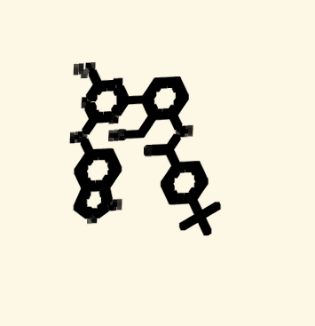 CC(C)(C)c1ccc(C(=O)Nc2cccc(-c3nc(N)nc(Nc4ccc5[nH]ncc5c4)n3)c2CO)cc1